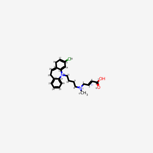 CN(C/C=C/C(=O)O)CCCCN1C2=CC(Cl)=CCC2=CCc2ccccc21